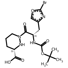 CC(C)(C)OC(=O)N[C@@H](Cc1coc(Br)n1)C(=O)N1CCC[C@@H](C(=O)O)N1